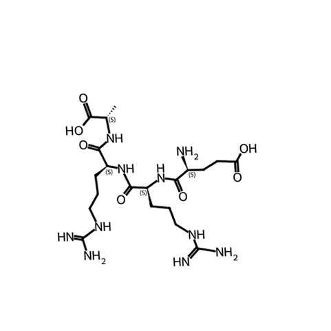 C[C@H](NC(=O)[C@H](CCCNC(=N)N)NC(=O)[C@H](CCCNC(=N)N)NC(=O)[C@@H](N)CCC(=O)O)C(=O)O